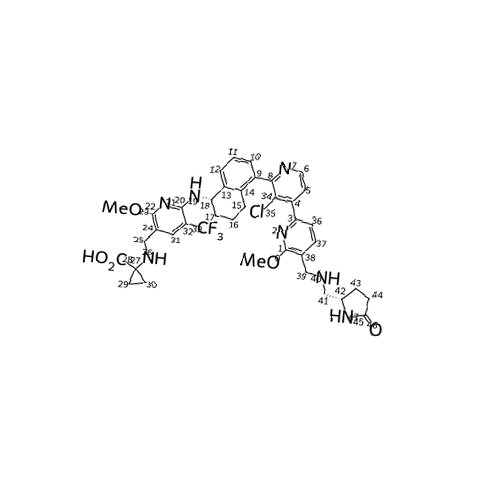 COc1nc(-c2ccnc(-c3cccc4c3CCC[C@@H]4Nc3nc(OC)c(CNC4(C(=O)O)CC4)cc3C(F)(F)F)c2Cl)ccc1CNC[C@@H]1CCC(=O)N1